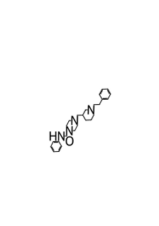 O=C(Nc1ccccc1)N1CCN(CC2CCCN(CCc3ccccc3)C2)CC1